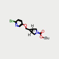 CC(C)(C)OC(=O)N1C[C@@H]2C(COc3ccc(Br)nc3)[C@@H]2C1